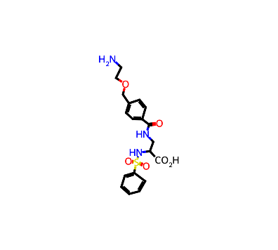 NCCOCc1ccc(C(=O)NCC(NS(=O)(=O)c2ccccc2)C(=O)O)cc1